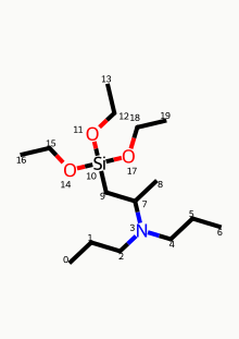 CCCN(CCC)C(C)C[Si](OCC)(OCC)OCC